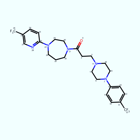 O=C(CCN1CCN(c2ccc(C(F)(F)F)cc2)CC1)N1CCCN(c2ccc(C(F)(F)F)cn2)CC1